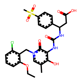 CCOc1cccc(Cl)c1Cn1cc(C)c(O)c(NC(=O)NC(CC(=O)O)c2ccc(S(C)(=O)=O)cc2)c1=O